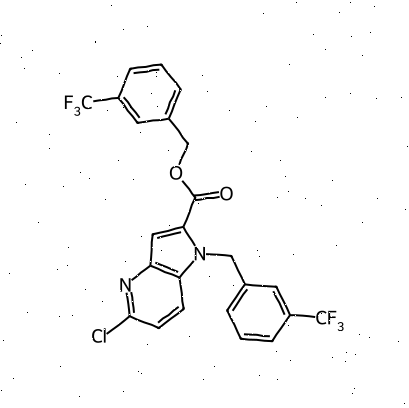 O=C(OCc1cccc(C(F)(F)F)c1)c1cc2nc(Cl)ccc2n1Cc1cccc(C(F)(F)F)c1